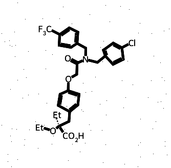 CCO[C@@](CC)(Cc1ccc(OCC(=O)N(Cc2ccc(Cl)cc2)Cc2ccc(C(F)(F)F)cc2)cc1)C(=O)O